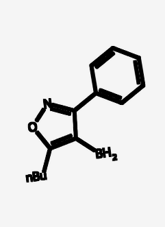 Bc1c(-c2ccccc2)noc1CCCC